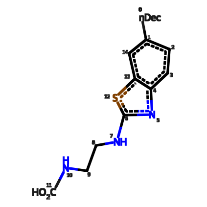 CCCCCCCCCCc1ccc2nc(NCCNC(=O)O)sc2c1